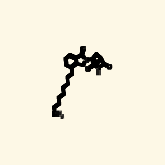 NCCCCCCCCc1cccc2c1CN(C13CC(C1)C(=O)NC3=O)C2=O